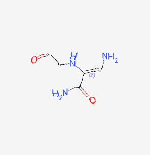 N/C=C(\NCC=O)C(N)=O